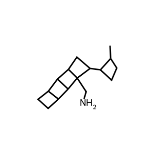 CC1CCC1C1CC2C3C4CCC4C3C12CN